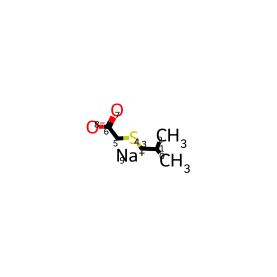 CC(C)CSCC(=O)[O-].[Na+]